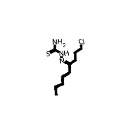 CCCCCC(CCCCl)=NNC(N)=S